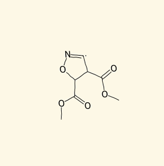 COC(=O)C1[C]=NOC1C(=O)OC